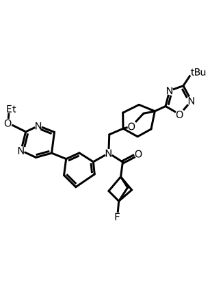 CCOc1ncc(-c2cccc(N(CC34CCC(c5nc(C(C)(C)C)no5)(CC3)CO4)C(=O)C34CC(F)(C3)C4)c2)cn1